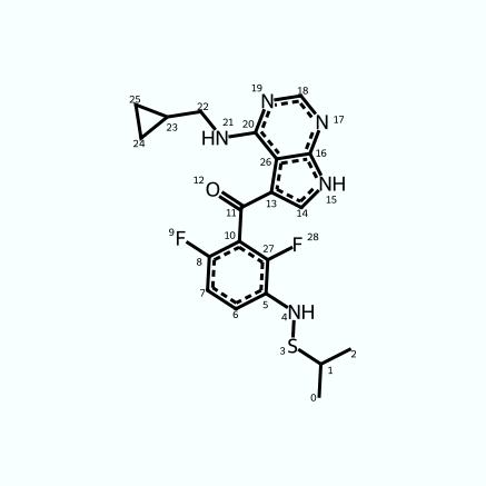 CC(C)SNc1ccc(F)c(C(=O)c2c[nH]c3ncnc(NCC4CC4)c23)c1F